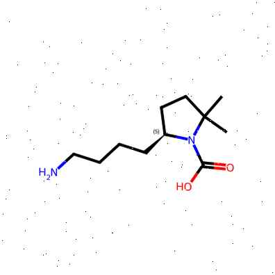 CC1(C)CC[C@H](CCCCN)N1C(=O)O